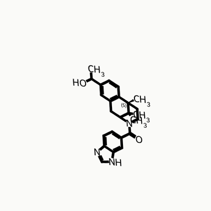 CC(O)c1ccc2c(c1)CC1N(C(=O)c3ccc4nc[nH]c4c3)CC[C@]2(C)C1(C)C